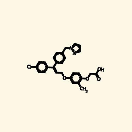 Cc1cc(OC/C=C(/c2ccc(Cl)cc2)c2ccc(Cn3cccn3)cc2)ccc1OCC(=O)O